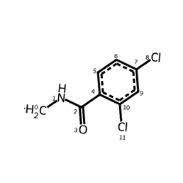 [CH2]NC(=O)c1ccc(Cl)cc1Cl